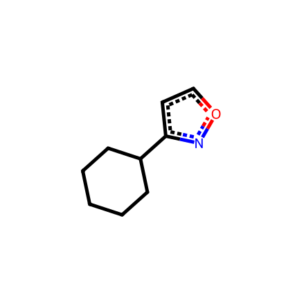 c1cc(C2CCCCC2)no1